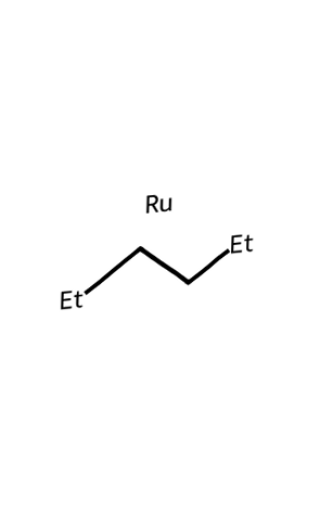 CCCCCC.[Ru]